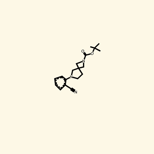 CC(C)(C)OC(=O)N1CC2(CCN(c3ccccc3C#N)C2)C1